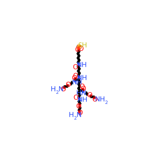 CP(=O)(S)OCCCCCCNC(=O)CCCC(=O)NC(CCC(=O)CC(CCC(=O)NCCOCCON)C(=O)NCCOCCON)C(=O)NCCOCCON